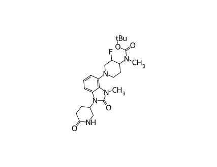 CN(C(=O)OC(C)(C)C)C1CCN(c2cccc3c2n(C)c(=O)n3C2CCC(=O)NC2)CC1F